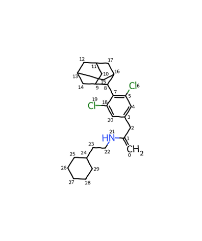 C=C(Cc1cc(Cl)c(C2C3CC4CC(C3)CC2C4)c(Cl)c1)NCCC1CCCCC1